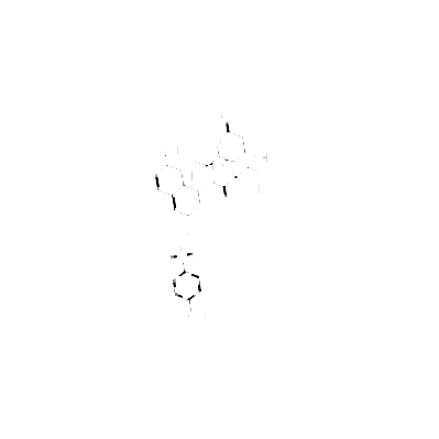 CCC(C)(C)C(=O)O[C@H]1C[C@H](COS(=O)(=O)c2ccc(C)cc2)C=C2C=C[C@H](C)[C@H](CC[C@@H]3C[C@@H](O)CC(=O)O3)[C@H]21